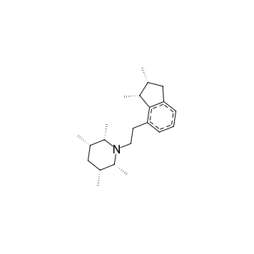 C[C@@H]1C[C@H](C)[C@H](C)N(CCc2cccc3c2[C@H](C)[C@H](C)C3)[C@@H]1C